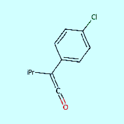 CC(C)C(=C=O)c1ccc(Cl)cc1